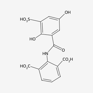 O=C(Nc1c(C(=O)O)cccc1C(=O)O)c1cc(O)cc(S(=O)(=O)O)c1O